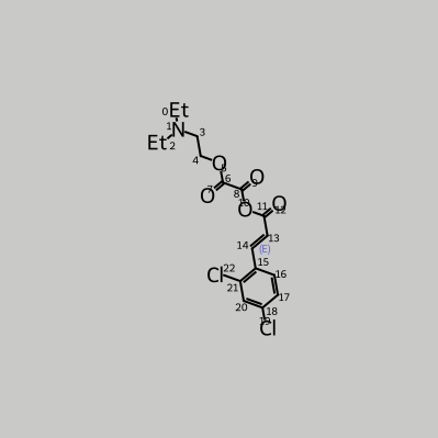 CCN(CC)CCOC(=O)C(=O)OC(=O)/C=C/c1ccc(Cl)cc1Cl